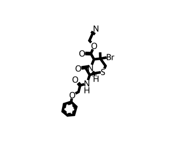 CC1(Br)CS[C@@H]2C(NC(=O)COc3ccccc3)C(=O)N2C1C(=O)OCC#N